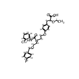 CCOC(Cc1ccc(OCCN(CCOCc2ccc(F)cc2)C(=O)Nc2ccccc2Cl)cc1)C(=O)O